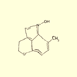 Cc1ccc2c3c(cc[n+](O)c13)CCO2